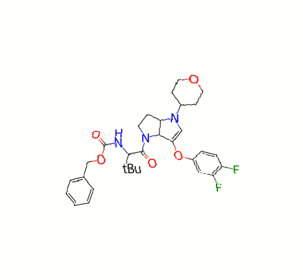 CC(C)(C)C(NC(=O)OCc1ccccc1)C(=O)N1CCC2C1C(Oc1ccc(F)c(F)c1)=CN2C1CCOCC1